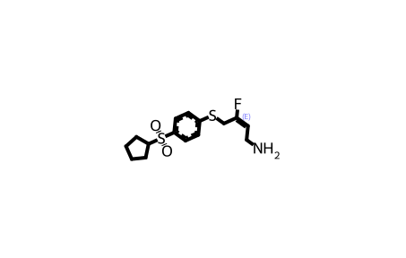 NC/C=C(/F)CSc1ccc(S(=O)(=O)C2CCCC2)cc1